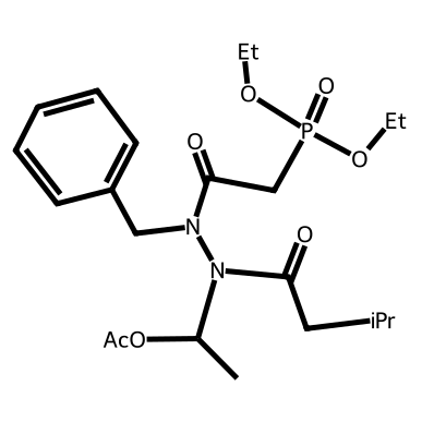 CCOP(=O)(CC(=O)N(Cc1ccccc1)N(C(=O)CC(C)C)C(C)OC(C)=O)OCC